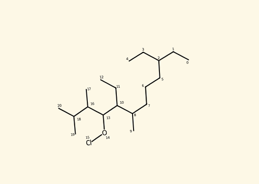 CCC(CC)CCCC(C)C(CC)C(OCl)C(C)C(C)C